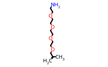 C=C(C)COCCOCCOCCOCCN